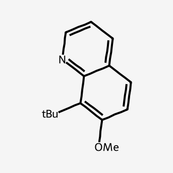 COc1ccc2cccnc2c1C(C)(C)C